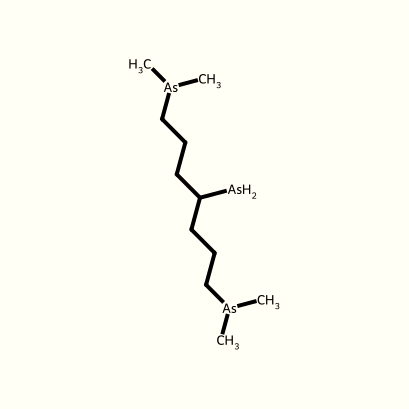 C[As](C)CCCC([AsH2])CCC[As](C)C